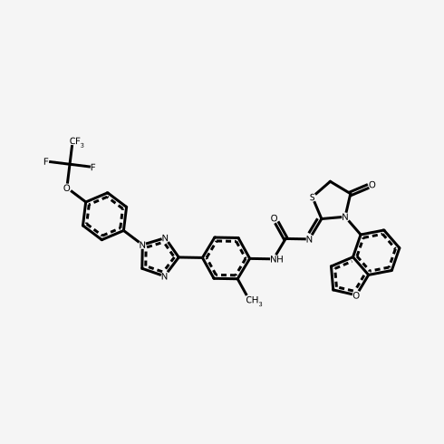 Cc1cc(-c2ncn(-c3ccc(OC(F)(F)C(F)(F)F)cc3)n2)ccc1NC(=O)/N=C1\SCC(=O)N1c1cccc2occc12